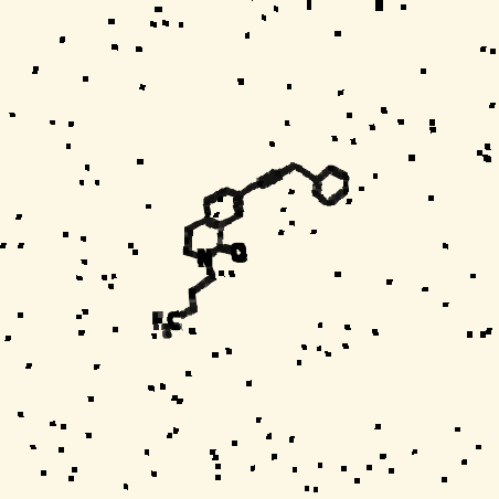 O=c1c2cc(C#CCc3ccccc3)ccc2ccn1CCCC(F)(F)F